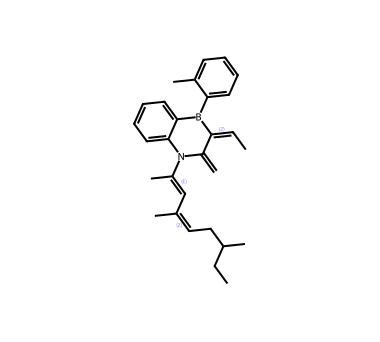 C=C1/C(=C\C)B(c2ccccc2C)c2ccccc2N1/C(C)=C/C(C)=C\CC(C)CC